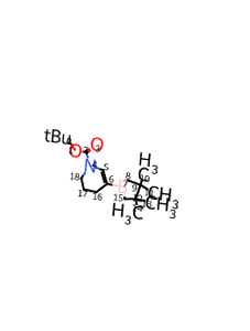 CC(C)(C)OC(=O)N1C=C(B2CC(C)(C)C(C)(C)C2)CCC1